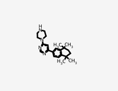 CC1(C)CCC(C)(C)c2cc(-c3cc(N4CCNCC4)ncn3)ccc21